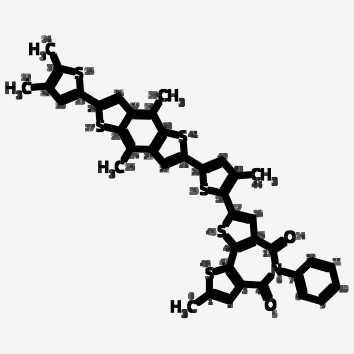 Cc1cc2c(=O)n(-c3ccccc3)c(=O)c3cc(-c4sc(-c5cc6c(C)c7sc(-c8cc(C)c(C)s8)cc7c(C)c6s5)cc4C)sc3c2s1